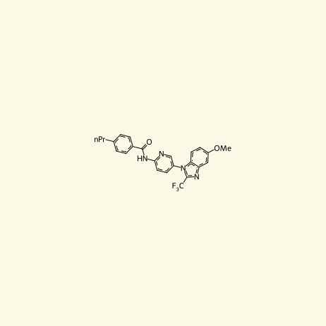 CCCc1ccc(C(=O)Nc2ccc(-n3c(C(F)(F)F)nc4cc(OC)ccc43)cn2)cc1